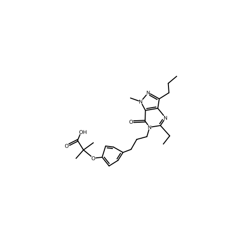 CCCc1nn(C)c2c(=O)n(CCCc3ccc(OC(C)(C)C(=O)O)cc3)c(CC)nc12